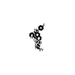 CC(C)n1cc(S(=O)(=O)N2CCC3=Cc4c(cnn4-c4ccc(F)cc4)C[C@]3(C(=O)c3ccccn3)C2)nn1